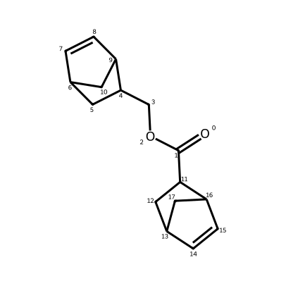 O=C(OCC1CC2C=CC1C2)C1CC2C=CC1C2